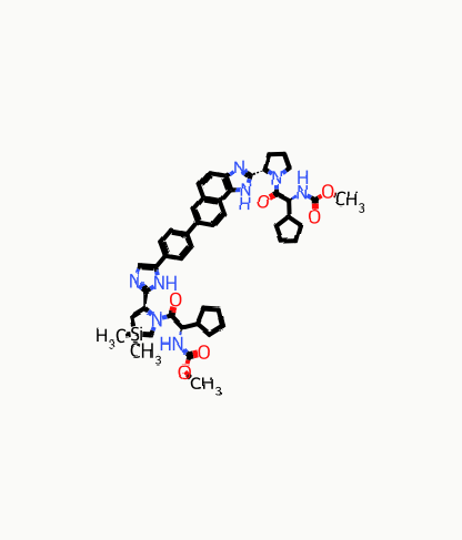 COC(=O)N[C@H](C(=O)N1C[Si](C)(C)C[C@H]1c1ncc(-c2ccc(-c3ccc4c(ccc5nc([C@@H]6CCCN6C(=O)[C@@H](NC(=O)OC)C6CCCC6)[nH]c54)c3)cc2)[nH]1)C1CCCC1